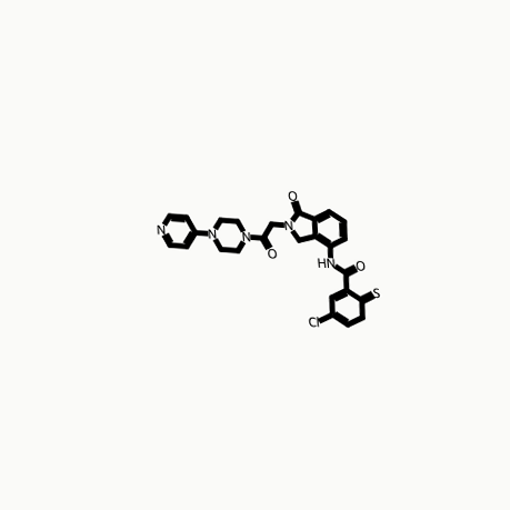 O=C(Nc1cccc2c1CN(CC(=O)N1CCN(c3ccncc3)CC1)C2=O)C1=CC(Cl)=CCC1=S